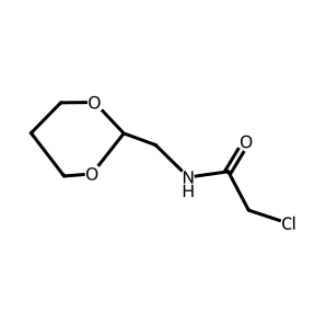 O=C(CCl)NCC1OCCCO1